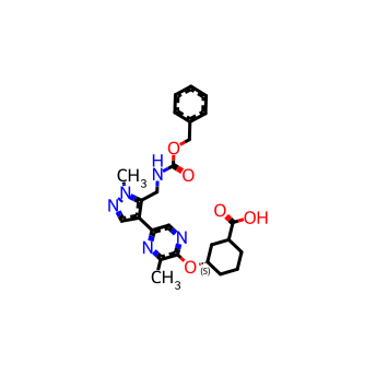 Cc1nc(-c2cnn(C)c2CNC(=O)OCc2ccccc2)cnc1O[C@H]1CCCC(C(=O)O)C1